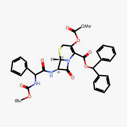 COC(=O)OC1=C(C(=O)OC(c2ccccc2)c2ccccc2)N2C(=O)[C@@H](NC(=O)C(NC(=O)OC(C)(C)C)c3ccccc3)[C@@H]2SC1